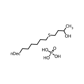 CCCCCCCCCCCCCCCCSCCC(C)O.O=P(O)(O)O